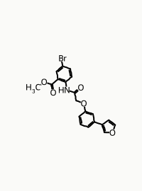 COC(=O)c1cc(Br)ccc1NC(=O)COc1cccc(-c2ccoc2)c1